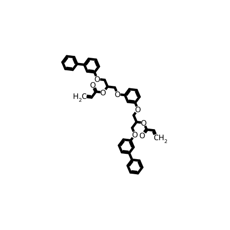 C=CC(=O)OC(COc1cccc(OCC(COc2cccc(-c3ccccc3)c2)OC(=O)C=C)c1)COc1cccc(-c2ccccc2)c1